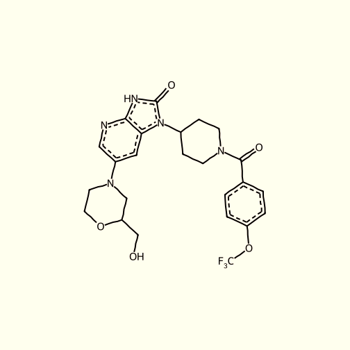 O=C(c1ccc(OC(F)(F)F)cc1)N1CCC(n2c(=O)[nH]c3ncc(N4CCOC(CO)C4)cc32)CC1